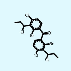 CCC(Cl)c1c(Cl)ccc(C(=O)c2ccc(Cl)c(C(Cl)CC)c2Br)c1Br